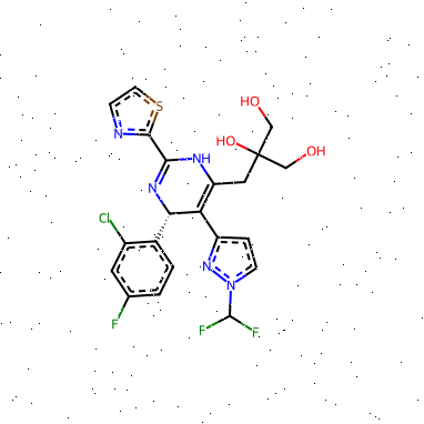 OCC(O)(CO)CC1=C(c2ccn(C(F)F)n2)[C@H](c2ccc(F)cc2Cl)N=C(c2nccs2)N1